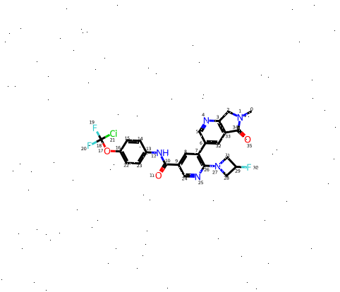 CN1Cc2ncc(-c3cc(C(=O)Nc4ccc(OC(F)(F)Cl)cc4)cnc3N3CC(F)C3)cc2C1=O